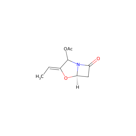 C/C=C1\O[C@@H]2CC(=O)N2C1OC(C)=O